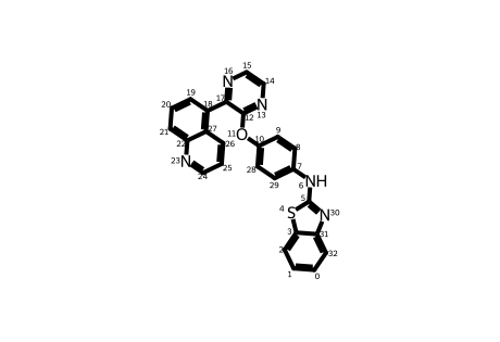 c1ccc2sc(Nc3ccc(Oc4nccnc4-c4cccc5ncccc45)cc3)nc2c1